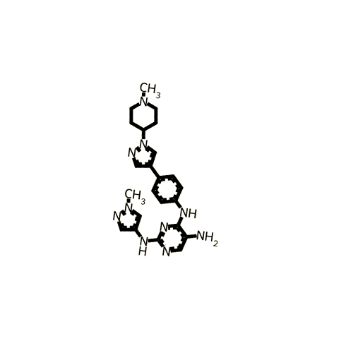 CN1CCC(n2cc(-c3ccc(Nc4nc(Nc5cnn(C)c5)ncc4N)cc3)cn2)CC1